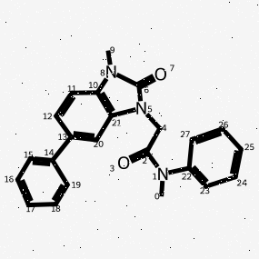 CN(C(=O)Cn1c(=O)n(C)c2ccc(-c3ccccc3)cc21)c1ccccc1